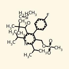 CC(C)c1nc(C(C)C)c(C(O[SiH](C)C)C(C)(C)C)c(-c2ccc(F)cc2)c1COS(C)(=O)=O